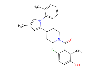 Cc1cc(C2CCN(C(=O)C3C(F)=CC=C(O)C3C)CC2)n(-c2ccccc2C)c1